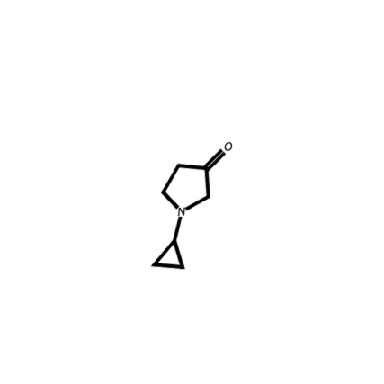 O=C1CCN(C2CC2)C1